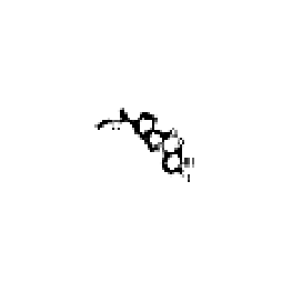 C=C(OCC)c1ccc2c(c1)CN(C1CCC(=O)NC1=O)C2=O